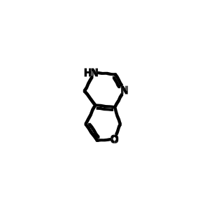 C1=CC2=C(CO1)N=CNC2